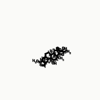 Cn1ncc2c1C=C1CC[C@@H]3[C@H]([C@@H](O)C[C@@]4(C)[C@H]3C[C@H]3OC(P)O[C@]34C(=O)CO)[C@@]1(C)C2